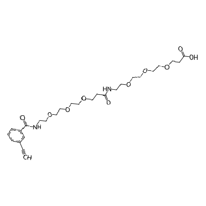 C#Cc1cccc(C(=O)NCCOCCOCCOCCC(=O)NCCOCCOCCOCCC(=O)O)c1